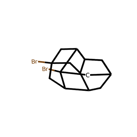 BrC12CC3C4CC5CC3C(C1)C(Br)(C5)C4C2